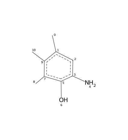 Cc1cc(N)c(O)c(C)c1C